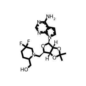 CC1(C)O[C@@H]2[C@H](O1)[C@@H](CN1CC(F)(F)CCC1CO)O[C@H]2n1ccc2c(N)ncnc21